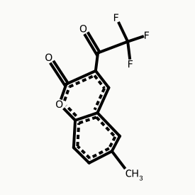 Cc1ccc2oc(=O)c(C(=O)C(F)(F)F)cc2c1